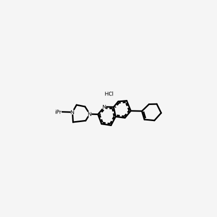 CC(C)N1CCN(c2ccc3cc(C4=CCCCC4)ccc3n2)CC1.Cl